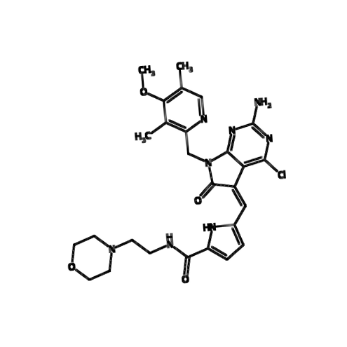 COc1c(C)cnc(CN2C(=O)/C(=C\c3ccc(C(=O)NCCN4CCOCC4)[nH]3)c3c(Cl)nc(N)nc32)c1C